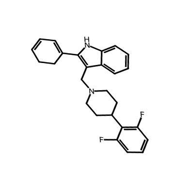 Fc1cccc(F)c1C1CCN(Cc2c(C3=CC=CCC3)[nH]c3ccccc23)CC1